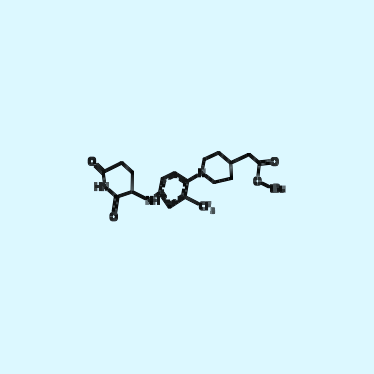 CC(C)(C)OC(=O)CC1CCN(c2ccc(NC3CCC(=O)NC3=O)cc2C(F)(F)F)CC1